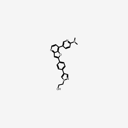 CN(C)c1ccc(-c2ccnc3cc(-c4ccc(-c5cnn(CCO)c5)cc4)oc23)cn1